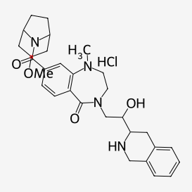 COC1CC2CCC(C1)N2C(=O)c1ccc2c(c1)N(C)CCN(CC(O)C1Cc3ccccc3CN1)C2=O.Cl